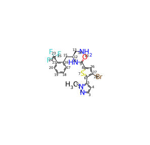 Cn1nccc1-c1sc(C(=O)N[C@H](CN)Cc2ccccc2C(F)(F)F)cc1Br